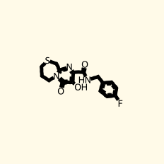 O=C(NCc1ccc(F)cc1)c1nc2n(c(=O)c1O)CCCSC2